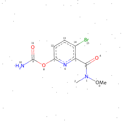 CON(C)C(=O)c1nc(OC(N)=O)ccc1Br